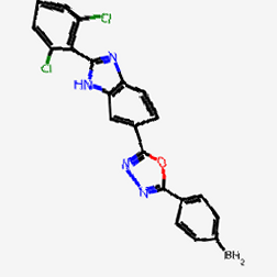 Bc1ccc(-c2nnc(-c3ccc4nc(-c5c(Cl)cccc5Cl)[nH]c4c3)o2)cc1